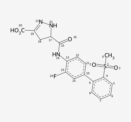 CS(=O)(=O)c1ccccc1-c1ccc(NC(=O)C2CC(C(=O)O)=NN2)c(F)c1